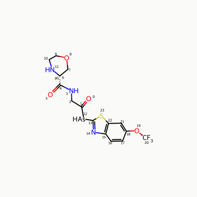 O=C(CNC(=O)[C@H]1COCCN1)[AsH]c1nc2ccc(OC(F)(F)F)cc2s1